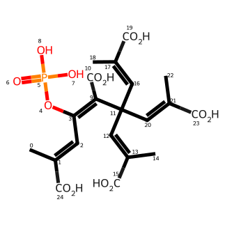 CC(=CC(OP(=O)(O)O)=C(C(=O)O)C(C=C(C)C(=O)O)(C=C(C)C(=O)O)C=C(C)C(=O)O)C(=O)O